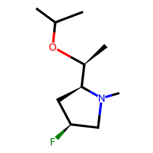 CC(C)O[C@@H](C)[C@@H]1C[C@H](F)CN1C